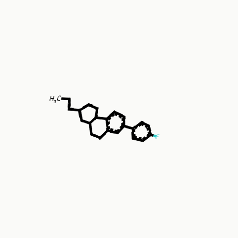 CCCC1CCC2c3ccc(-c4ccc(F)cc4)cc3CCC2C1